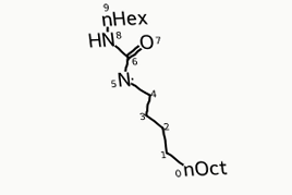 CCCCCCCCCCCC[N]C(=O)NCCCCCC